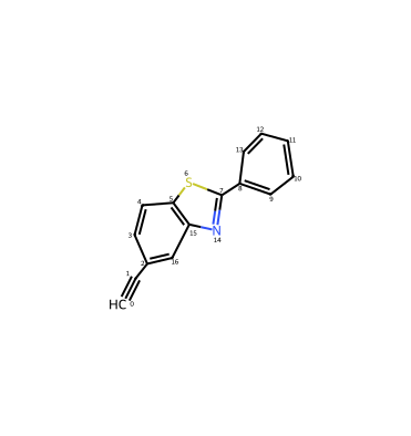 C#Cc1ccc2sc(-c3ccccc3)nc2c1